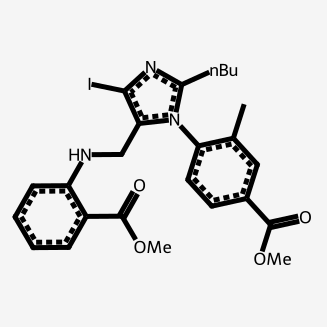 CCCCc1nc(I)c(CNc2ccccc2C(=O)OC)n1-c1ccc(C(=O)OC)cc1C